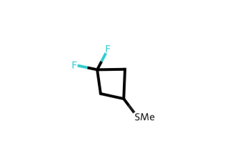 CSC1CC(F)(F)C1